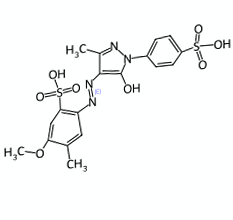 COc1cc(S(=O)(=O)O)c(/N=N/c2c(C)nn(-c3ccc(S(=O)(=O)O)cc3)c2O)cc1C